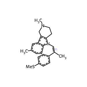 CSc1ccc(/C(C)=C\n2c3c(c4cc(C)ccc42)CN(C)CC3)cc1